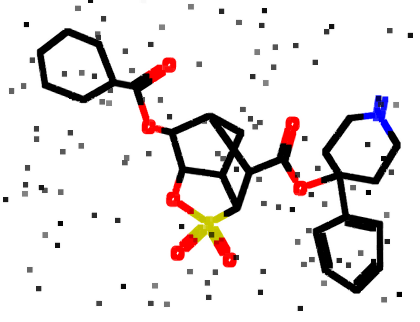 O=C(OC1C2CC3C1OS(=O)(=O)C3C2C(=O)OC1(c2ccccc2)CCNCC1)C1CCCCC1